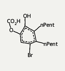 CCCCCc1c(Br)cc(OC(=O)O)c(O)c1CCCCC